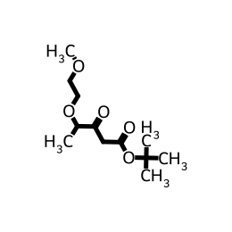 COCCOC(C)C(=O)CC(=O)OC(C)(C)C